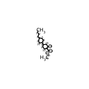 CCCCC1CCC(C2CCC(C(=O)OCC)C(=O)C2)CC1